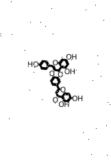 O=c1cc(-c2ccc(Oc3c(-c4ccc(O)cc4)oc4cc(O)cc(O)c4c3=O)cc2)oc2cc(O)cc(O)c12